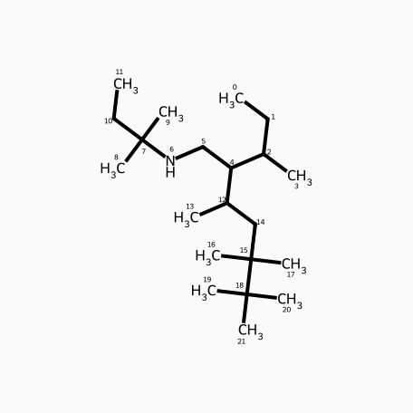 CCC(C)C(CNC(C)(C)CC)C(C)CC(C)(C)C(C)(C)C